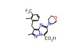 Cc1nn2c(C(=O)O)cc(N3CCOCC3)nc2c1Cc1cccc(C(F)(F)F)c1C